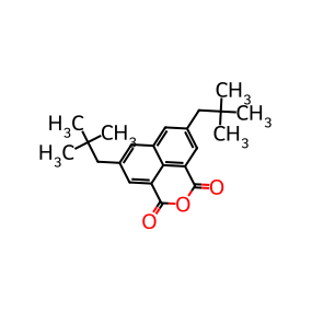 CC(C)(C)Cc1cc2c3c(cc(CC(C)(C)C)cc3c1)C(=O)OC2=O